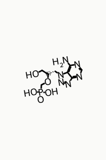 Nc1ncnc2nnn(C[C@@H](CO)OCP(=O)(O)O)c12